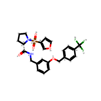 O=C(NCc1cccc(OCc2ccc(C(F)(F)F)cc2)c1)[C@@H]1CCCN1S(=O)(=O)c1ccoc1